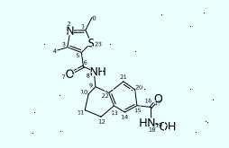 Cc1nc(C)c(C(=O)NC2CCCc3cc(C(=O)NO)ccc32)s1